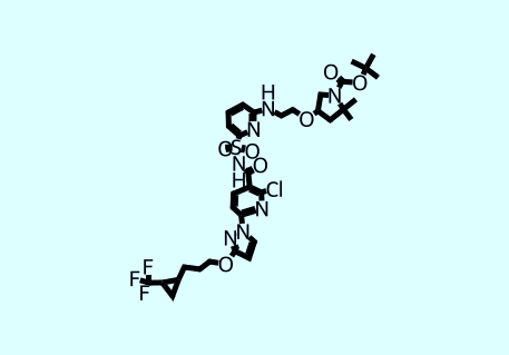 CC(C)(C)OC(=O)N1CC(OCCNc2cccc(S(=O)(=O)NC(=O)c3ccc(-n4ccc(OCCCC5CC5C(F)(F)F)n4)nc3Cl)n2)CC1(C)C